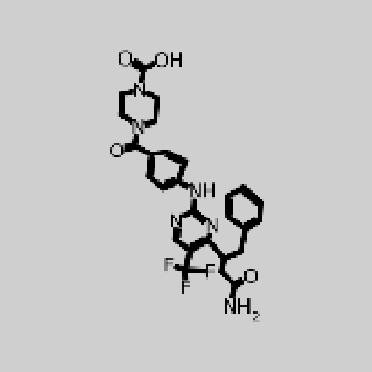 NC(=O)CC(Cc1ccccc1)c1nc(Nc2ccc(C(=O)N3CCN(C(=O)O)CC3)cc2)ncc1C(F)(F)F